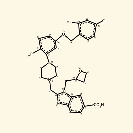 O=C(O)c1ccc2nc(CN3CCN(c4cc(OCc5ccc(Cl)cc5F)ccc4F)CC3)n(C[C@@H]3CCO3)c2c1